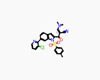 Cc1ccc(S(=O)(=O)n2c(C(=O)/C(C#N)=C/N(C)C)cc3ccc(-c4ncccc4Cl)cc32)cc1